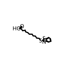 O=C(O)CCCCCCCCCCSc1nc2ccccc2s1